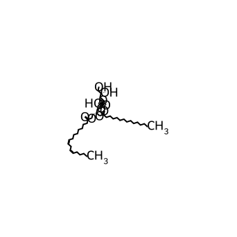 CCCCC/C=C\C/C=C\CCCCCCCC(=O)OC[C@H](COP(=O)(O)OC[C@@H](O)CO)OC(=O)CCCCCCCCCCCCCC